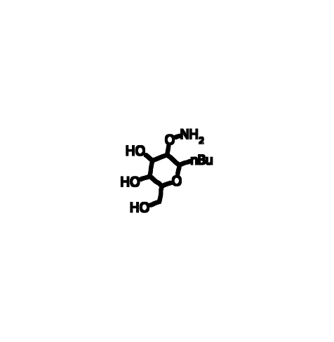 CCCCC1OC(CO)C(O)C(O)C1ON